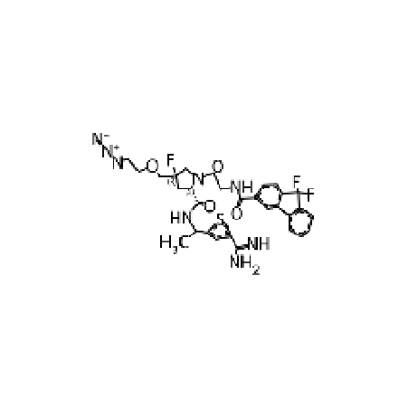 CC(NC(=O)[C@@H]1C[C@](F)(COCCN=[N+]=[N-])CN1C(=O)CNC(=O)c1ccc2c(c1)-c1ccccc1C2(F)F)c1cc(C(=N)N)cs1